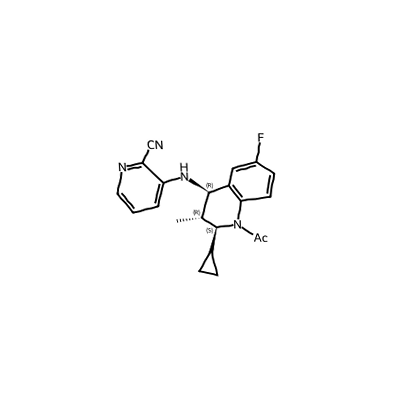 CC(=O)N1c2ccc(F)cc2[C@H](Nc2cccnc2C#N)[C@@H](C)[C@@H]1C1CC1